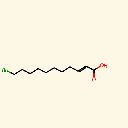 O=C(O)C=CCCCCCCCCBr